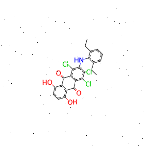 CCc1cccc(CC)c1Nc1c(Cl)c(Cl)c2c(c1Cl)C(=O)c1c(O)ccc(O)c1C2=O